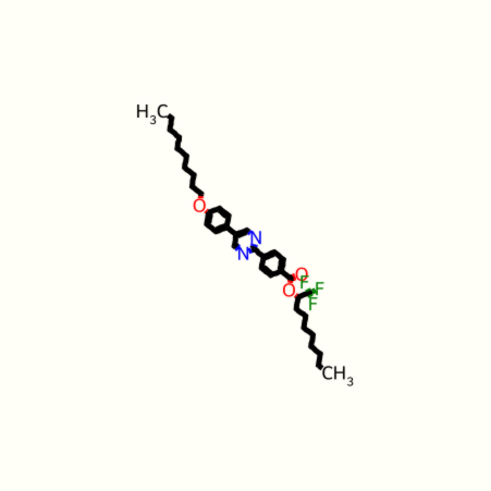 CCCCCCCCCCOc1ccc(-c2cnc(-c3ccc(C(=O)OC(CCCCCCCC)C(F)(F)F)cc3)nc2)cc1